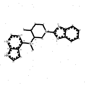 CC1CCN(c2nc3ccccc3s2)CC1N(C)c1ncnc2[nH]ccc12